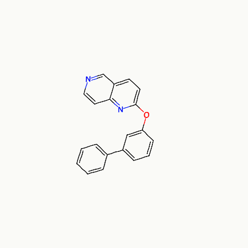 c1ccc(-c2cccc(Oc3ccc4cnccc4n3)c2)cc1